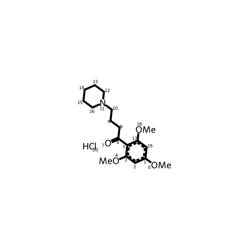 COc1cc(OC)c(C(=O)CCCN2CCCCC2)c(OC)c1.Cl